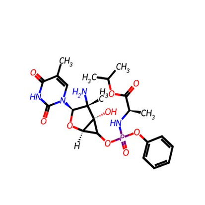 Cc1cn([C@@H]2O[C@@H]3C(OP(=O)(N[C@H](C)C(=O)OC(C)C)Oc4ccccc4)[C@]3(O)[C@@]2(C)N)c(=O)[nH]c1=O